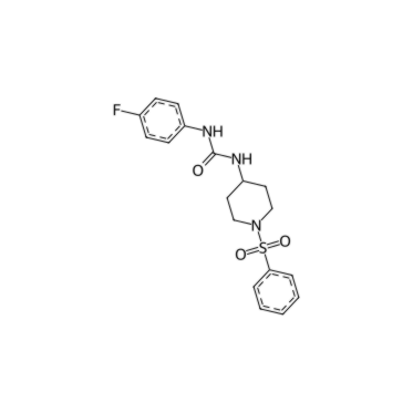 O=C(Nc1ccc(F)cc1)NC1CCN(S(=O)(=O)c2ccccc2)CC1